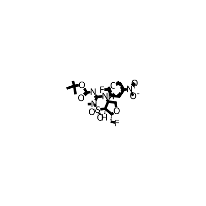 CN1/C(=N\C(=O)OC(C)(C)C)N[C@@]2(c3cc([N+](=O)[O-])ccc3F)CO[C@H](CF)[C@H]2S1(=O)=O